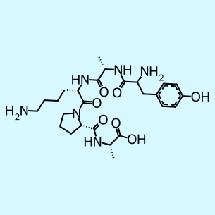 C[C@H](NC(=O)[C@@H]1CCCN1C(=O)[C@H](CCCCN)NC(=O)[C@H](C)NC(=O)[C@@H](N)Cc1ccc(O)cc1)C(=O)O